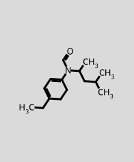 CCC1=CC=C(N(C=O)C(C)CC(C)C)CC1